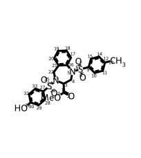 COC(=O)C1CN(S(=O)(=O)c2ccc(C)cc2)c2ccccc2CN1S(=O)(=O)c1ccc(O)cc1